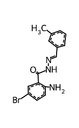 Cc1cccc(C=NNC(=O)c2cc(Br)ccc2N)c1